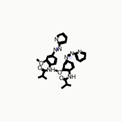 COc1cc(/N=N/c2ccccn2)ccc1NC(=O)C(C)C.COc1cc(/N=N\c2ccccn2)ccc1NC(=O)C(C)C